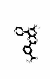 NC(=O)c1cccc(-c2cnc3nc(N)nc(N4CCOCC4)c3n2)c1